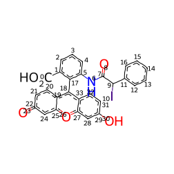 O=C(O)c1cccc(NC(=O)C(I)c2ccccc2)c1-c1c2ccc(=O)cc-2oc2cc(O)ccc12